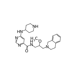 COC(CNC(=O)c1cc(NC2CCNCC2)ncn1)CN1CCc2ccccc2C1